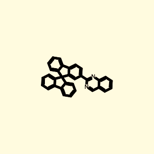 c1ccc2c(c1)-c1ccccc1C21c2ccccc2-c2ccc(-c3ncc4ccccc4n3)cc21